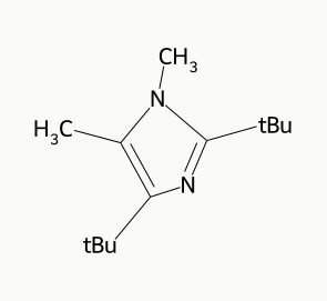 Cc1c(C(C)(C)C)nc(C(C)(C)C)n1C